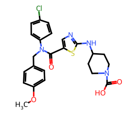 COc1ccc(CN(C(=O)c2cnc(NC3CCN(C(=O)O)CC3)s2)c2ccc(Cl)cc2)cc1